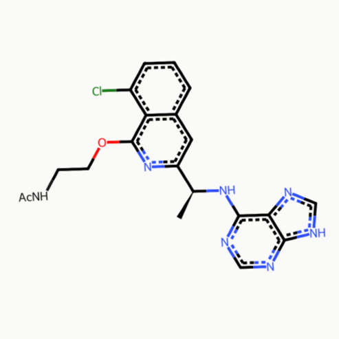 CC(=O)NCCOc1nc([C@H](C)Nc2ncnc3[nH]cnc23)cc2cccc(Cl)c12